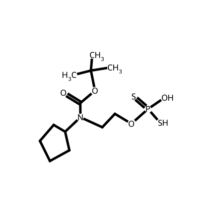 CC(C)(C)OC(=O)N(CCOP(O)(=S)S)C1CCCC1